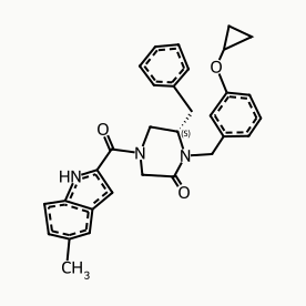 Cc1ccc2[nH]c(C(=O)N3CC(=O)N(Cc4cccc(OC5CC5)c4)[C@@H](Cc4ccccc4)C3)cc2c1